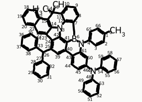 Cc1ccc(N2B3c4cccc5c4-n4c6c(c7ccccc7cc6c6c(C(c7ccccc7)c7ccccc7)cc(c3c64)-c3ccc(N(c4ccccc4)c4ccccc4)cc32)C5(C)C)cc1